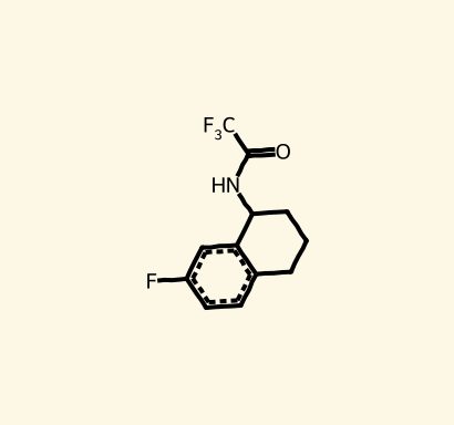 O=C(NC1CCCc2ccc(F)cc21)C(F)(F)F